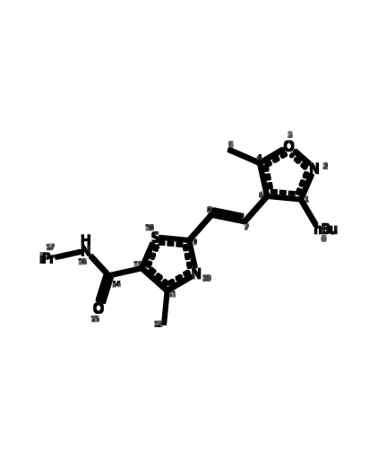 CCCCc1noc(C)c1C=Cc1nc(C)c(C(=O)NC(C)C)s1